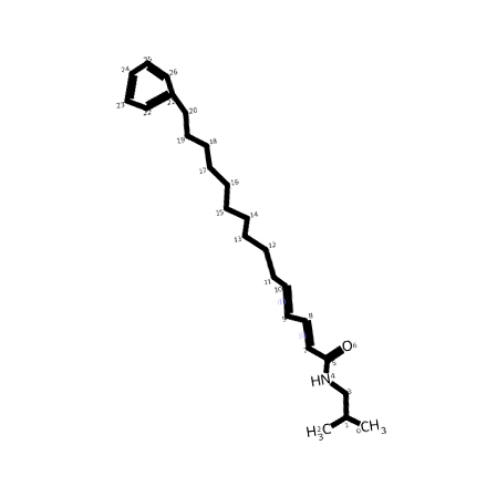 CC(C)CNC(=O)/C=C/C=C/CCCCCCCCCCc1ccccc1